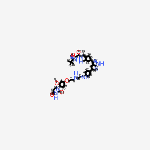 COc1cc(OCCCNCCNc2ccc(-c3cnc4[nH]nc(-c5ccc([C@@H](C)NC(=O)c6nc(C(C)(C)C)no6)c(C)c5)c4c3)cc2)ccc1N1CCC(=O)NC1=O